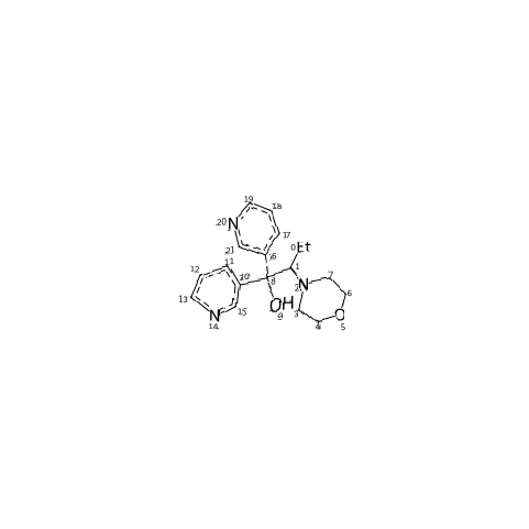 CCC(N1CCOCC1)C(O)(c1cccnc1)c1cccnc1